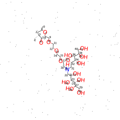 CC(C[C@@H](C)C=O)OCCOCCOCCOCCN(C[C@H](O)[C@@H](O)[C@H](O)[C@H](O)CO)C[C@H](O)[C@@H](O)[C@H](O)[C@H](O)CO